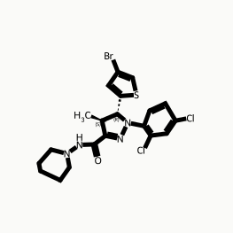 C[C@@H]1C(C(=O)NN2CCCCC2)=NN(c2ccc(Cl)cc2Cl)[C@H]1c1cc(Br)cs1